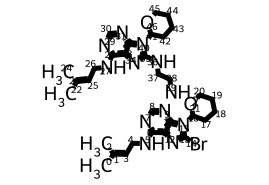 CC(C)=CCNc1ncnc2c1nc(Br)n2C1CCCCO1.CC(C)=CCNc1ncnc2c1nc(NCCN)n2C1CCCCO1